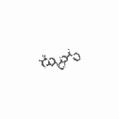 Cc1cnc2cc(N3CCOc4cc(C(=O)N5C=CCCC5)cnc43)ccn2c1=O